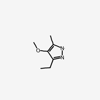 CCC1=N[N]C(C)=C1OC